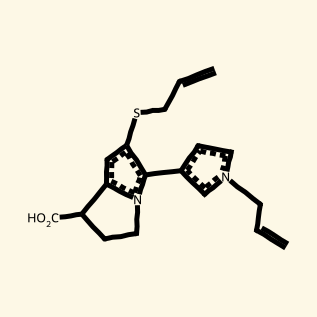 C=CCSc1cc2n(c1-c1ccn(CC=C)c1)CCC2C(=O)O